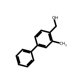 Cc1cc(-c2ccccc2)ccc1CO